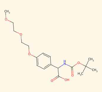 COCCOCCOc1ccc(C(NC(=O)OC(C)(C)C)C(=O)O)cc1